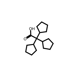 O=C(O)C(C1CCCC1)(C1CCCC1)C1CCCC1